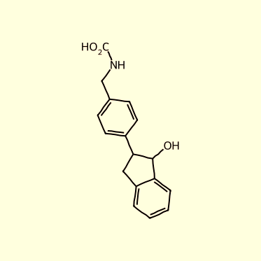 O=C(O)NCc1ccc(C2Cc3ccccc3C2O)cc1